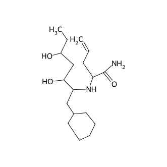 C=CCC(NC(CC1CCCCC1)C(O)CC(O)CC)C(N)=O